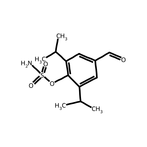 CC(C)c1cc(C=O)cc(C(C)C)c1OS(N)(=O)=O